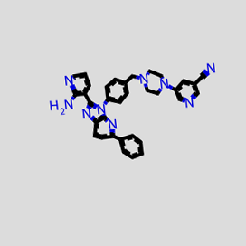 N#Cc1cncc(N2CCN(Cc3ccc(-n4c(-c5cccnc5N)nc5ccc(-c6ccccc6)nc54)cc3)CC2)c1